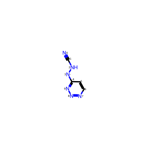 N#CN[N]c1ccnnn1